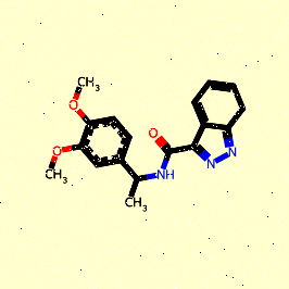 COc1ccc(C(C)NC(=O)C2=NN=C3CC=CC=C32)cc1OC